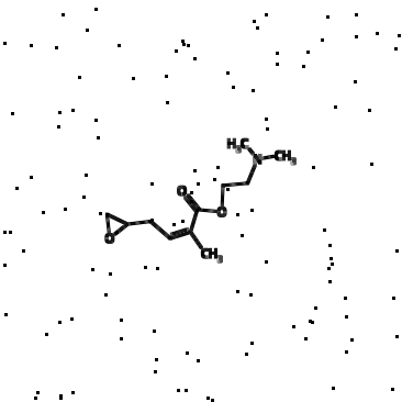 CC(=CCC1CO1)C(=O)OCCN(C)C